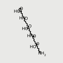 CC(=O)N(O)CCCCCNC(=O)CCCCCC(=O)C(O)CCCCCNC(=O)CCCCCC(=O)C(O)CCCCCN